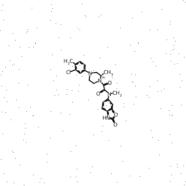 Cc1ccc(N2CCN(C(=O)C(=O)N(C)c3ccc4[nH]c(=O)oc4c3)[C@H](C)C2)cc1Cl